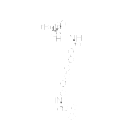 CC(C)(C)OC(=O)NC(CCCCNC(C)(C)C(=O)CCOCCOCCOCCOCCOCCOCCNC(C)(C)C(=O)OCC1c2ccccc2-c2ccccc21)C(=O)OCC1CCCC1